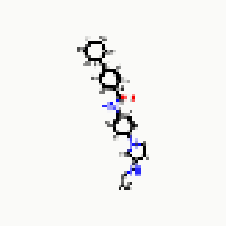 CC(=O)CNC1CCN(c2ccc(NC(=O)c3ccc(C4CCCCC4)cc3)cc2)C1